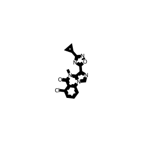 Cn1c(=O)c2c(Cl)cccc2n2cnc(-c3nc(C4CC4)no3)c12